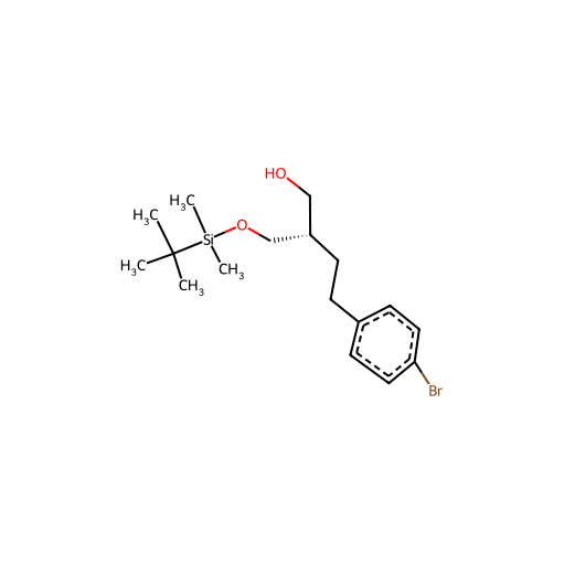 CC(C)(C)[Si](C)(C)OC[C@H](CO)CCc1ccc(Br)cc1